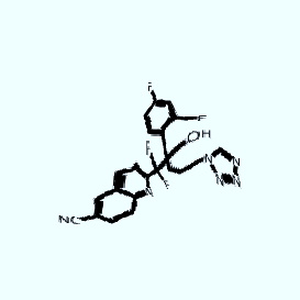 N#Cc1ccc2nc(C(F)(F)C(O)(Cn3cnnn3)c3ccc(F)cc3F)ccc2c1